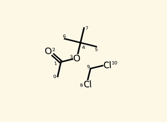 CC(=O)OC(C)(C)C.ClCCl